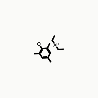 C[CH2][Al+][CH2]C.Cc1cc(C)c([O-])c(C)c1